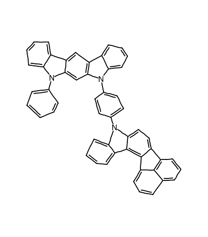 c1ccc(-n2c3ccccc3c3cc4c5ccccc5n(-c5ccc(-n6c7ccccc7c7c8c(ccc76)-c6cccc7cccc-8c67)cc5)c4cc32)cc1